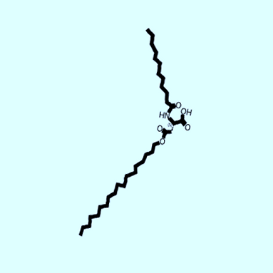 CCCCCCCCCCCCCCCCCCOC(=O)C[C@H](NC(=O)CCCCCCCCCCC)C(=O)O